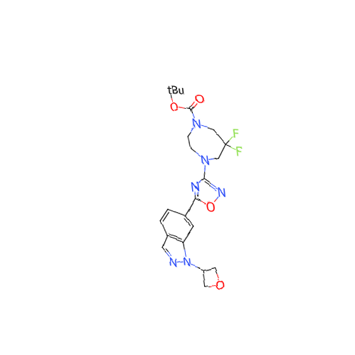 CC(C)(C)OC(=O)N1CCN(c2noc(-c3ccc4cnn(C5COC5)c4c3)n2)CC(F)(F)C1